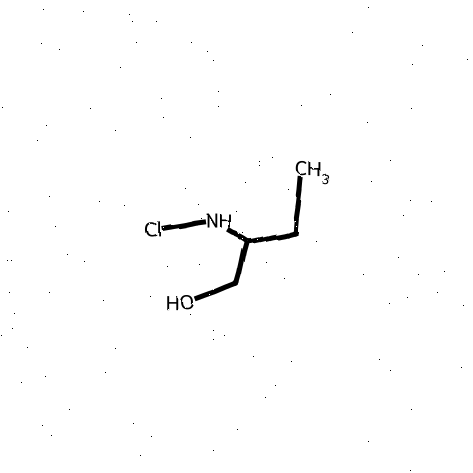 CCC(CO)NCl